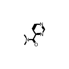 CN(C)C(=O)c1c#cncn1